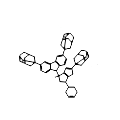 CC(C)C1(C2c3ccc(C45CC6CC(CC(C6)C4)C5)cc3-c3cc(C45CC6CC(CC(C6)C4)C5)ccc32)CC(C2CC=CCC2)C2=C1C=C(C13CC4CC(CC(C4)C1)C3)C2.[Cl-].[Cl-].[Zr+2]